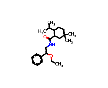 CCOC(CNC(=O)C1CC(C)(C)CCC1C(C)C)c1ccccc1